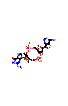 CO[C@H]1[C@H]2O[P@](=O)(S)OC[C@H]3O[C@@H](c4snc5c(N)ncnc45)C[C@@H]3O[P@@](=O)(S)OC[C@H]1O[C@H]2N1C=NC2C(=O)NC(N)=NC21